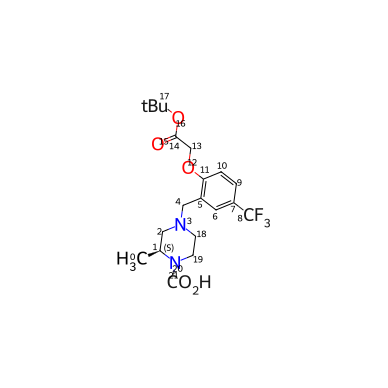 C[C@H]1CN(Cc2cc(C(F)(F)F)ccc2OCC(=O)OC(C)(C)C)CCN1C(=O)O